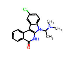 CC(N(C)C)n1c2ccc(Cl)cc2c2c3ccccc3c(=O)[nH]c21